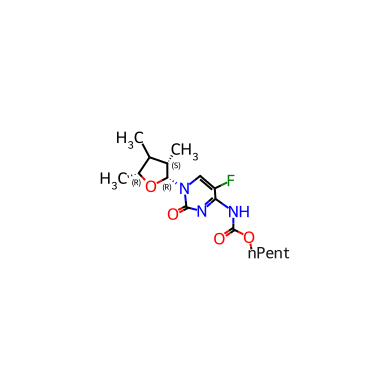 CCCCCOC(=O)Nc1nc(=O)n([C@@H]2O[C@H](C)C(C)[C@@H]2C)cc1F